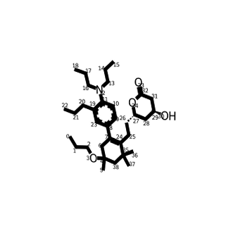 CCCOC1(C)CC(c2ccc(N(CCC)CCC)c(CCC)c2)=C(CC[C@H]2C[C@H](O)CC(=O)O2)C(C)(C)C1